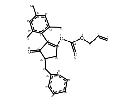 C=CCOC(=O)OC1=C(c2c(C)cc(C)cc2C)C(=O)C(Cc2ccccn2)C1